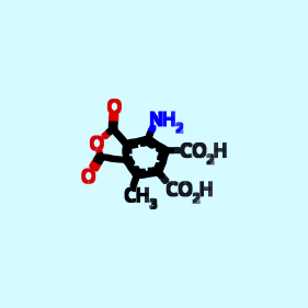 Cc1c(C(=O)O)c(C(=O)O)c(N)c2c1C(=O)OC2=O